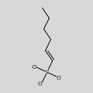 CCCCC=C[Si](Cl)(Cl)Cl